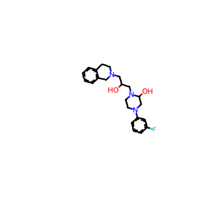 OC(CN1CCc2ccccc2C1)CN1CCN(c2cccc(F)c2)CC1O